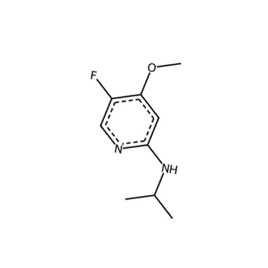 COc1cc(NC(C)C)ncc1F